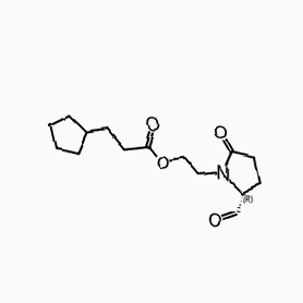 O=C[C@H]1CCC(=O)N1CCOC(=O)CCC1CCCC1